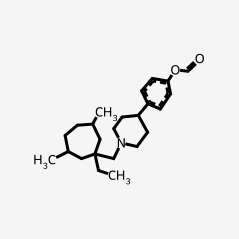 CCC1(CN2CCC(c3ccc(OC=O)cc3)CC2)CC(C)CCC(C)C1